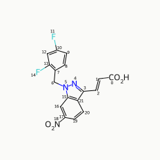 O=C(O)/C=C/c1nn(Cc2ccc(F)cc2F)c2cc([N+](=O)[O-])ccc12